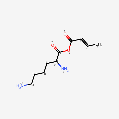 CC=CC(=O)OC(=O)[C@@H](N)CCCCN